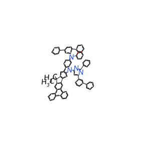 CC1(C)c2cc3c4ccccc4c4ccccc4c3cc2-c2cc3c(cc21)c1ccc(N(c2ccccc2)c2cc(-c4ccccc4)ccc2-c2ccccc2)cc1n3-c1cc(-c2cccc(-c3ccccc3)c2)nc(-c2ccccc2)n1